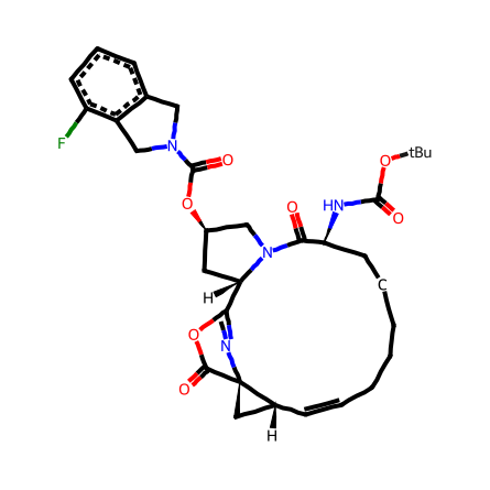 CC(C)(C)OC(=O)N[C@H]1CCCCC/C=C\[C@@H]2C[C@@]23N=C(OC3=O)[C@@H]2C[C@@H](OC(=O)N3Cc4cccc(F)c4C3)CN2C1=O